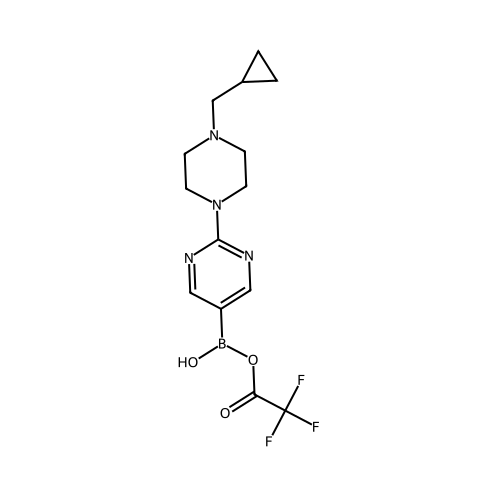 O=C(OB(O)c1cnc(N2CCN(CC3CC3)CC2)nc1)C(F)(F)F